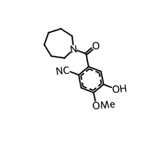 COc1cc(C#N)c(C(=O)N2CCCCCC2)cc1O